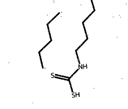 [CH2]CCCCNC(=S)S.[CH2]CCC[CH2]